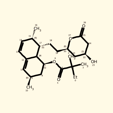 CCC(C)(C)C(=O)O[C@H]1C[C@@H](C)C=C2C=C[C@H](C)[C@H](CC[C@@H]3C[C@H](O)CC(=O)O3)C21